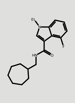 CCn1cc(C(=O)NCC2CCCCCC2)c2c(F)cccc21